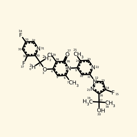 [2H]C([2H])(Oc1cc(C)n(-c2cc(-n3cc(F)c(C(C)(C)O)n3)ncc2C)c(=O)c1Cl)c1ncc(F)cc1F